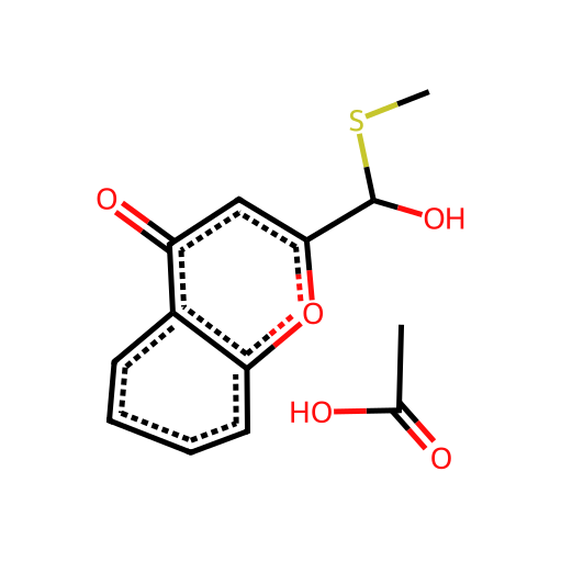 CC(=O)O.CSC(O)c1cc(=O)c2ccccc2o1